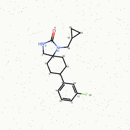 O=C1NCC2(CCC(c3cccc(F)c3)CC2)N1CC1CC1